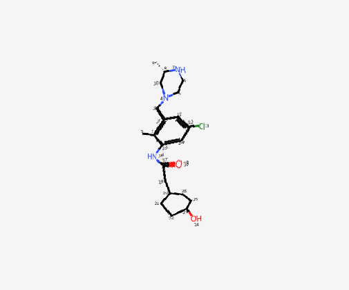 Cc1c(CN2CCN[C@@H](C)C2)cc(Cl)cc1NC(=O)CC1CCC(O)CC1